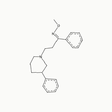 CON=C(CCN1CCCC(c2ccccc2)C1)c1ccccc1